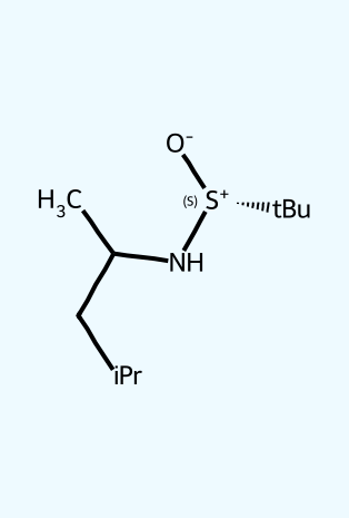 CC(C)CC(C)N[S@+]([O-])C(C)(C)C